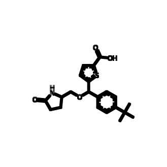 CC(C)(C)c1ccc(C(OCC2CCC(=O)N2)c2ccc(C(=O)O)s2)cc1